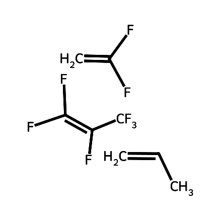 C=C(F)F.C=CC.FC(F)=C(F)C(F)(F)F